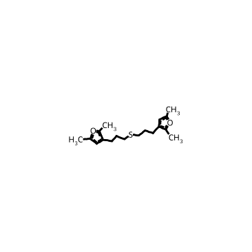 Cc1cc(CCCSCCCc2cc(C)oc2C)c(C)o1